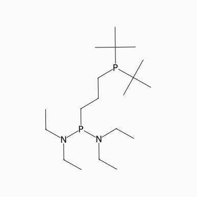 CCN(CC)P(CCCP(C(C)(C)C)C(C)(C)C)N(CC)CC